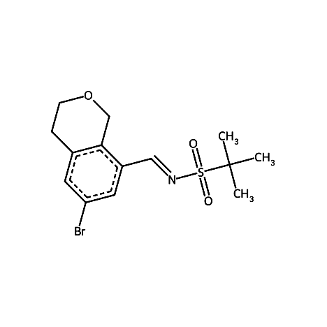 CC(C)(C)S(=O)(=O)/N=C/c1cc(Br)cc2c1COCC2